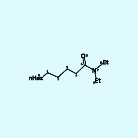 [CH2]CCCCCCCCCC(=O)N(CC)CC